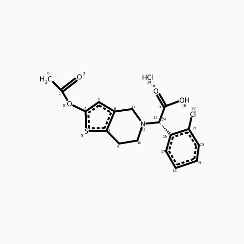 CC(=O)Oc1cc2c(s1)CCN([C@H](C(=O)O)c1ccccc1Cl)C2.Cl